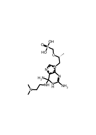 C[C@H](Cn1cnc2c1N=C(N)NC2(N)NCCN(C)C)OCP(=O)(O)O